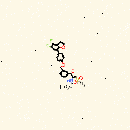 CS(=O)(=O)CC(NCC(=O)O)C(=O)c1cccc(COc2ccc(-c3cc(F)c(F)c4ccoc34)cc2)c1